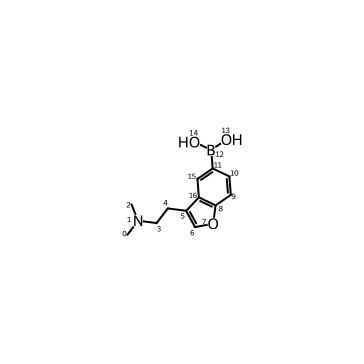 CN(C)CCc1coc2ccc(B(O)O)cc12